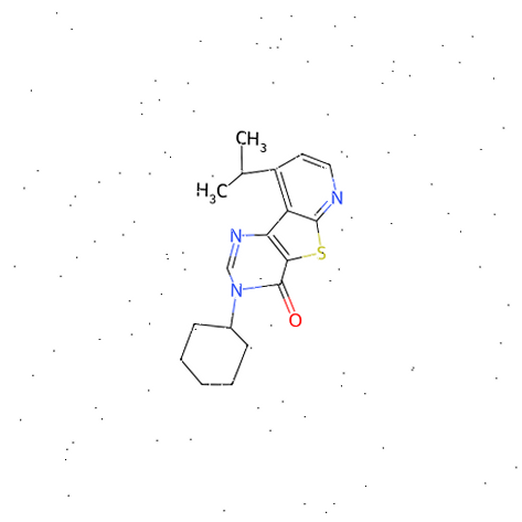 CC(C)c1ccnc2sc3c(=O)n(C4CCCCC4)cnc3c12